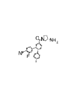 Cc1ccc(-c2ccc(C(=O)N3CC[C@H](N)C3)cc2-c2ccc(C#N)c(F)c2)cc1